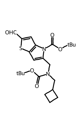 CC(C)(C)OC(=O)N(Cc1cc2sc(C=O)cc2n1C(=O)OC(C)(C)C)CC1CCC1